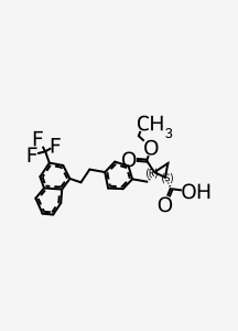 CCOC(=O)[C@@]1(Cc2ccc(CCc3cc(C(F)(F)F)cc4ccccc34)cc2)C[C@@H]1C(=O)O